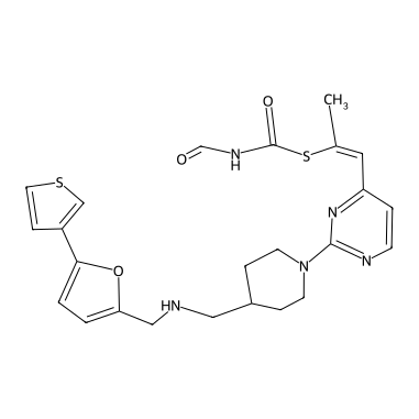 C/C(=C/c1ccnc(N2CCC(CNCc3ccc(-c4ccsc4)o3)CC2)n1)SC(=O)NC=O